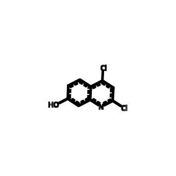 Oc1ccc2c(Cl)cc(Cl)nc2c1